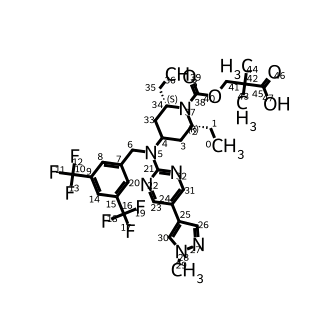 CC[C@@H]1CC(N(Cc2cc(C(F)(F)F)cc(C(F)(F)F)c2)c2ncc(-c3cnn(C)c3)cn2)C[C@H](CC)N1C(=O)OCC(C)(C)C(=O)O